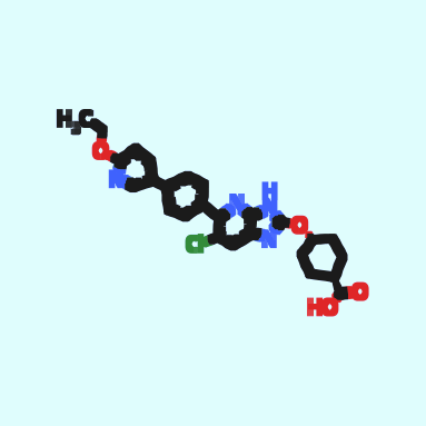 CCOc1ccc(-c2ccc(-c3nc4[nH]c(O[C@H]5CC[C@H](C(=O)O)CC5)nc4cc3Cl)cc2)cn1